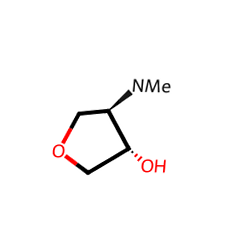 CN[C@@H]1COC[C@H]1O